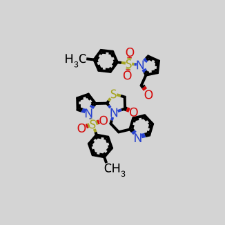 Cc1ccc(S(=O)(=O)n2cccc2C2SCC(=O)N2CCc2ccccn2)cc1.Cc1ccc(S(=O)(=O)n2cccc2C=O)cc1